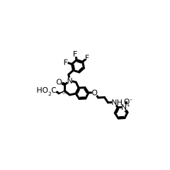 O=C(O)C[C@@H]1Cc2ccc(OCCCNc3cccc[n+]3[O-])cc2CN(Cc2ccc(F)c(F)c2F)C1=O